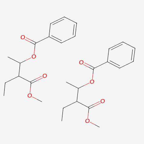 CCC(C(=O)OC)C(C)OC(=O)c1ccccc1.CCC(C(=O)OC)C(C)OC(=O)c1ccccc1